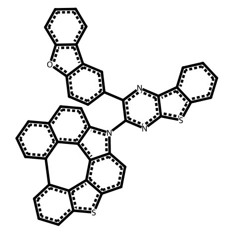 c1cc2c3c(c1)ccc1c3c3c4c(ccc3n1-c1nc3sc5ccccc5c3nc1-c1ccc3oc5ccccc5c3c1)sc1cccc-2c14